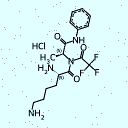 C[C@@H](C(=O)Nc1ccccc1)N(C(=O)[C@@H](N)CCCCN)C(=O)C(F)(F)F.Cl